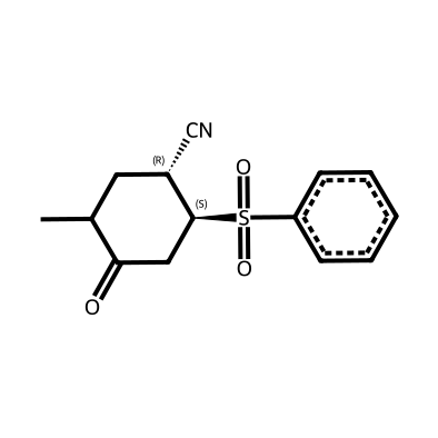 CC1C[C@H](C#N)[C@@H](S(=O)(=O)c2ccccc2)CC1=O